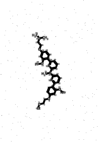 CCOCCOc1ccc(-c2cccc(N(N)c3cccc(-c4ccc(OCCN(C)C)cc4OC(C)C)n3)n2)c(OC(C)C)c1